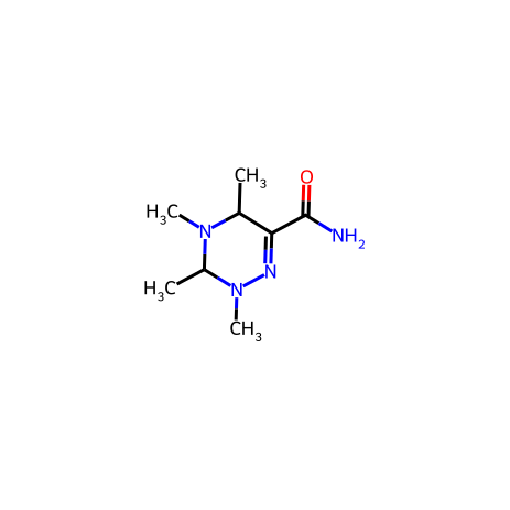 CC1C(C(N)=O)=NN(C)C(C)N1C